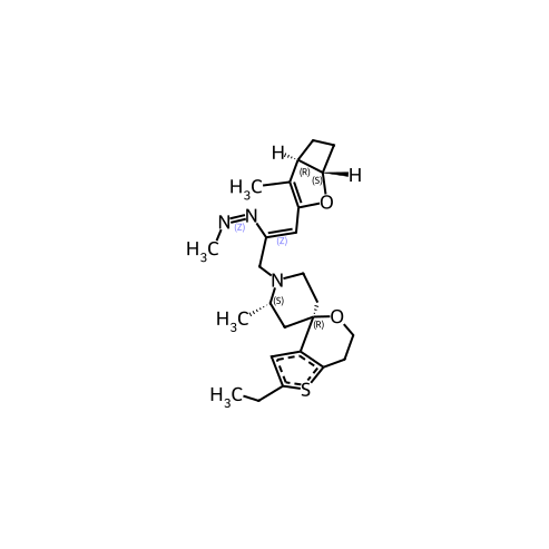 CCc1cc2c(s1)CCO[C@@]21CCN(CC(=C/C2=C(C)[C@H]3CC[C@@H]3O2)/N=N\C)[C@@H](C)C1